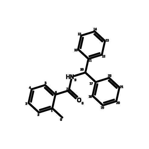 Cc1ccccc1C(=O)NC(c1ccccc1)c1ccccc1